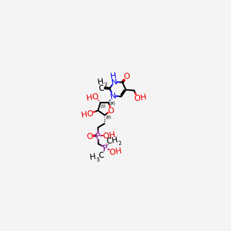 C=C1NC(=O)C(CO)=CN1[C@@H]1O[C@H](CCP(=O)(O)CP(=C)(C)O)C(O)[C@@H]1O